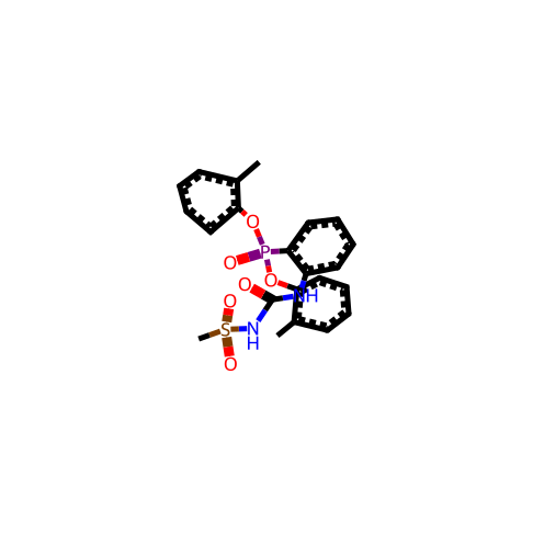 Cc1ccccc1OP(=O)(Oc1ccccc1C)c1ccccc1NC(=O)NS(C)(=O)=O